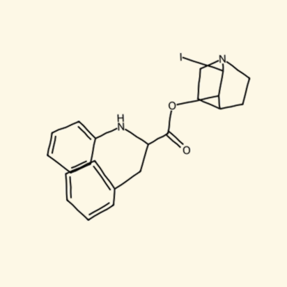 O=C(OC1C2CCN(CC2)C1I)C(Cc1ccccc1)Nc1ccccc1